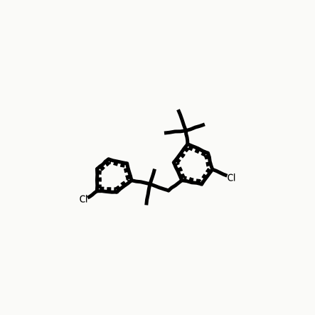 CC(C)(C)c1cc(Cl)cc(CC(C)(C)c2cccc(Cl)c2)c1